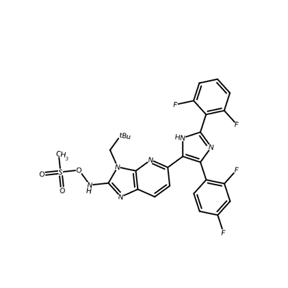 CC(C)(C)Cn1c(NOS(C)(=O)=O)nc2ccc(-c3[nH]c(-c4c(F)cccc4F)nc3-c3ccc(F)cc3F)nc21